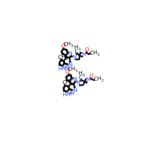 C=CC(=O)N1CC2(CCN(c3nc4cc(OC)ccc4c(-c4c(C)ccc5[nH]ncc45)c3C#N)[C@@H]2C)C1.C=CC(=O)N1CC2(CCN(c3nc4cc(OC)ccc4c(-c4c(C)ccc5[nH]ncc45)c3C#N)[C@H]2C)C1